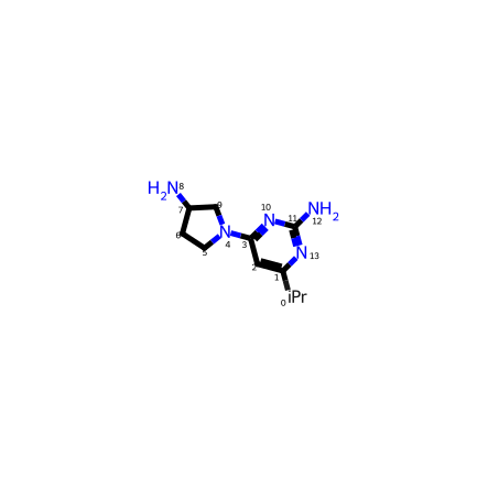 CC(C)c1cc(N2CCC(N)C2)nc(N)n1